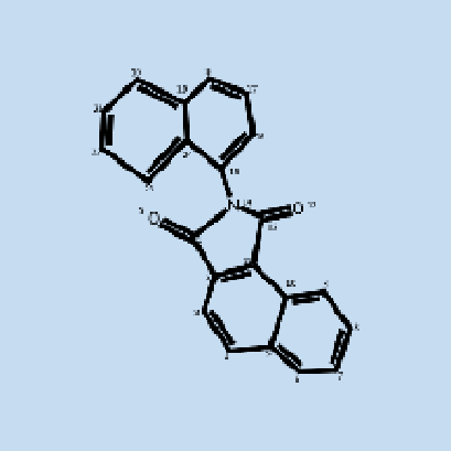 O=C1c2ccc3ccccc3c2C(=O)N1c1cccc2ccccc12